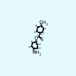 Cc1ccc(C(=S)Oc2ccc(N)cc2)cc1